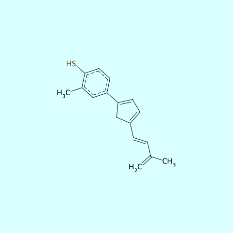 C=C(C)/C=C/C1=CC=C(c2ccc(S)c(C)c2)C1